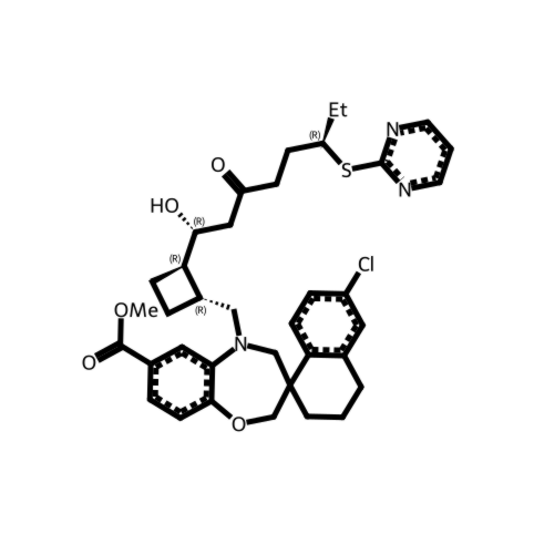 CC[C@H](CCC(=O)C[C@@H](O)[C@@H]1CC[C@H]1CN1CC2(CCCc3cc(Cl)ccc32)COc2ccc(C(=O)OC)cc21)Sc1ncccn1